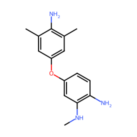 CNc1cc(Oc2cc(C)c(N)c(C)c2)ccc1N